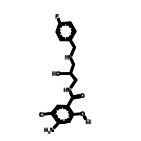 CCOc1cc(N)c(Cl)cc1C(=O)NCC(O)CNCc1ccc(F)cc1